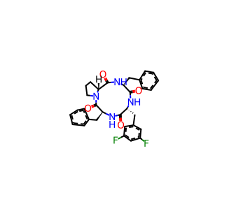 O=C1N[C@H](Cc2cc(F)cc(F)c2)C(=O)N[C@@H](Cc2ccccc2)C(=O)N2CCC[C@@H]2C(=O)N[C@H]1Cc1ccccc1